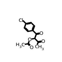 CC(=O)OC(C(C)=O)C(=O)c1ccc(Cl)cc1